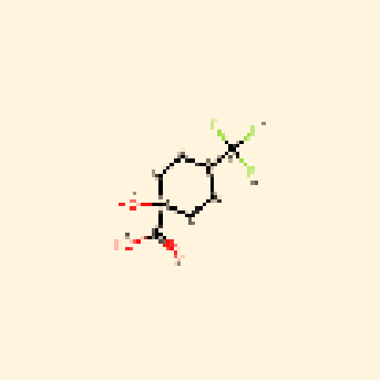 O=C(O)C1(O)CCC(C(F)(F)F)CC1